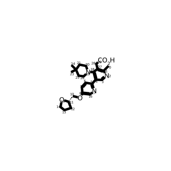 Cc1ncc(-c2ccc(OC[C@@H]3CCCO3)cn2)c(N2CCC(C)(C)CC2)c1CC(=O)O